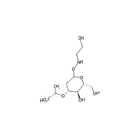 CC(O[C@@H]1CC(ONCCO)O[C@H](CO)[C@H]1O)C(=O)O